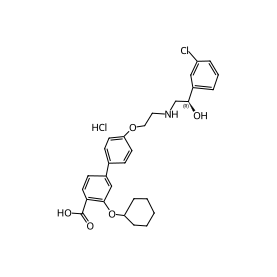 Cl.O=C(O)c1ccc(-c2ccc(OCCNC[C@H](O)c3cccc(Cl)c3)cc2)cc1OC1CCCCC1